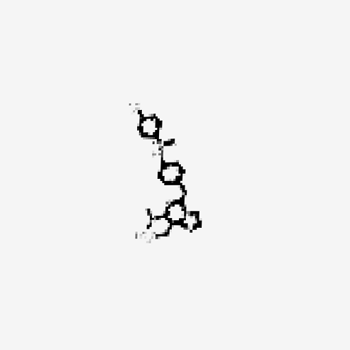 CN(C)c1nc(Cc2ccc(N[13C](=O)c3ccc(C(F)(F)F)cc3)cc2)n2ccnc2c1CC(=O)O